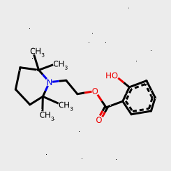 CC1(C)CCCC(C)(C)N1CCOC(=O)c1ccccc1O